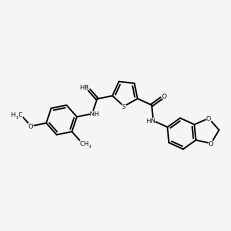 B=C(Nc1ccc(OC)cc1C)c1ccc(C(=O)Nc2ccc3c(c2)OCO3)s1